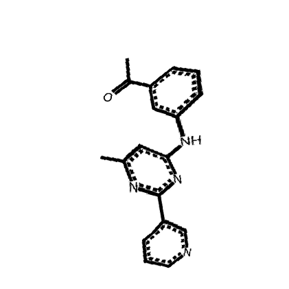 CC(=O)c1cccc(Nc2cc(C)nc(-c3cccnc3)n2)c1